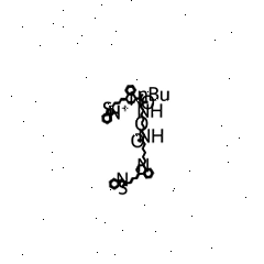 CCCCC(C(=O)CNCCOCCNC(=O)CCCCCN1C=CC(=CC=Cc2nc3ccccc3s2)c2ccccc21)N1C=CC(=CC=Cc2sc3ccccc3[n+]2C)c2ccccc21